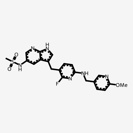 COc1ccc(CNc2ccc(Cc3c[nH]c4ncc(NS(C)(=O)=O)cc34)c(F)n2)cn1